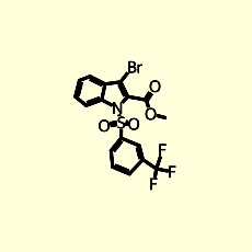 COC(=O)c1c(Br)c2ccccc2n1S(=O)(=O)c1cccc(C(F)(F)F)c1